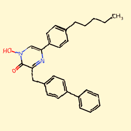 CCCCCc1ccc(-c2cn(O)c(=O)c(Cc3ccc(-c4ccccc4)cc3)n2)cc1